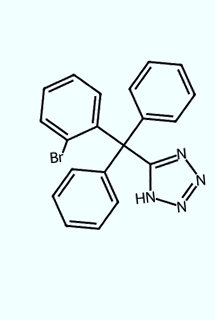 Brc1ccccc1C(c1ccccc1)(c1ccccc1)c1nnn[nH]1